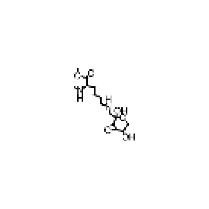 CNC(CCCCNCC1(O)OCC(O)C2OC21)C(=O)OC